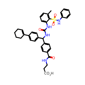 Cc1cccc(NC(=O)NC(c2ccc(C(=O)NCCC(=O)O)cc2)c2ccc(C3=CCCCC3)cc2)c1S(=O)(=O)Nc1ccccc1